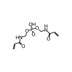 C=CC(=O)NCOP(=O)(O)OCNC(=O)C=C